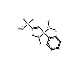 CO[Si](C)(C)C=C[Si](c1ccccc1)(N(C)C)N(C)C